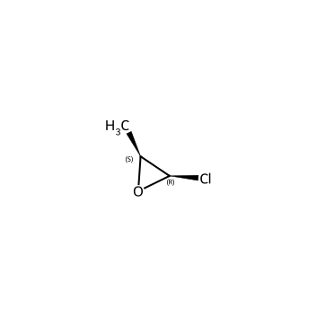 C[C@@H]1O[C@@H]1Cl